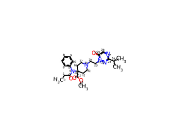 CCC(=O)N(c1ccccc1)C1(C(=O)OC)CCN(CCn2nc(C(C)C)ncc2=O)CC1